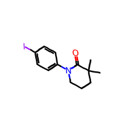 CC1(C)CCCN(c2ccc(I)cc2)C1=O